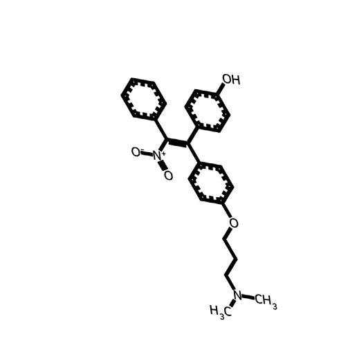 CN(C)CCCOc1ccc(C(=C(c2ccccc2)[N+](=O)[O-])c2ccc(O)cc2)cc1